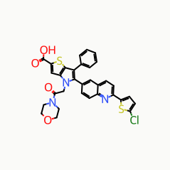 O=C(O)c1cc2c(s1)c(-c1ccccc1)c(-c1ccc3nc(-c4ccc(Cl)s4)ccc3c1)n2CC(=O)N1CCOCC1